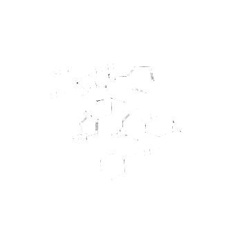 CC(C)(C)S(=O)(=O)C[C@]1([C@H](C(=O)N[C@@H](CC2CCCCC2)[C@@H](O)[C@@H](O)C2CC2)c2c[nH]cn2)Cc2ccccc2NC1=O